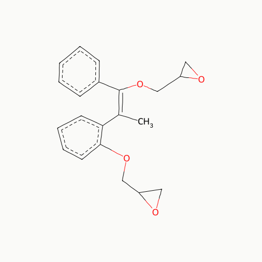 CC(=C(OCC1CO1)c1ccccc1)c1ccccc1OCC1CO1